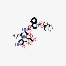 CC(C)C[C@H](NC(=O)OC1CCN(C(=O)OC(C)(C)C)c2ccccc21)C(=O)N[C@@H](C[C@@H]1CCNC1=O)C(=O)C(=O)O